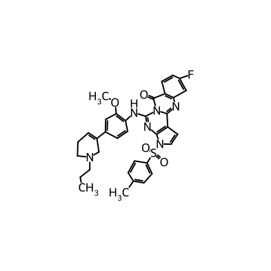 CCCN1CCC=C(c2ccc(Nc3nc4c(ccn4S(=O)(=O)c4ccc(C)cc4)c4nc5cc(F)ccc5c(=O)n34)c(OC)c2)C1